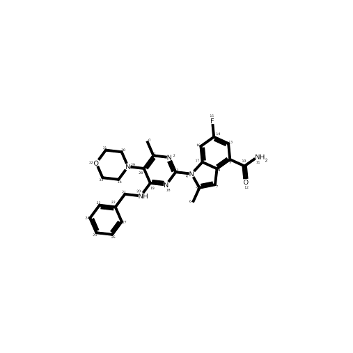 Cc1nc(-n2c(C)cc3c(C(N)=O)cc(F)cc32)nc(NCc2ccccc2)c1N1CCOCC1